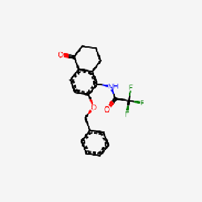 O=C1CCCc2c1ccc(OCc1ccccc1)c2NC(=O)C(F)(F)F